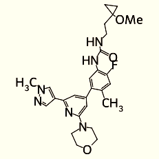 COC1(CCNC(=O)Nc2cc(-c3cc(-c4cnn(C)c4)nc(N4CCOCC4)c3)c(C)cc2F)CC1